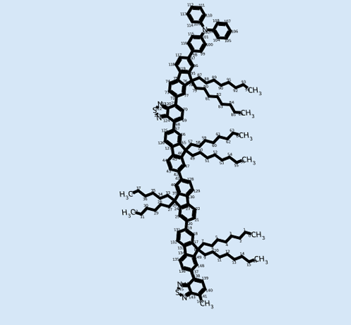 CCCCCCCCC1(CCCCCCCC)c2cc(-c3ccc4c(c3)C(CCCCCC)(CCCCCC)c3cc(-c5ccc6c(c5)C(CCCCCCCC)(CCCCCCCC)c5cc(-c7ccc(-c8ccc9c(c8)C(CCCCCCCC)(CCCCCCCC)c8cc(-c%10ccc(N(c%11ccccc%11)c%11ccccc%11)cc%10)ccc8-9)c8nsnc78)ccc5-6)ccc3-4)ccc2-c2ccc(-c3ccc(C)c4nsnc34)cc21